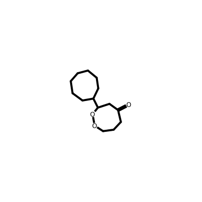 O=C1CCCOOC(C2CCCCCCC2)C1